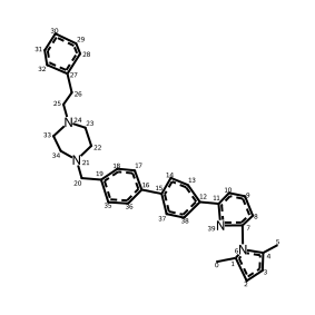 Cc1ccc(C)n1-c1cccc(-c2ccc(-c3ccc(CN4CCN(CCc5ccccc5)CC4)cc3)cc2)n1